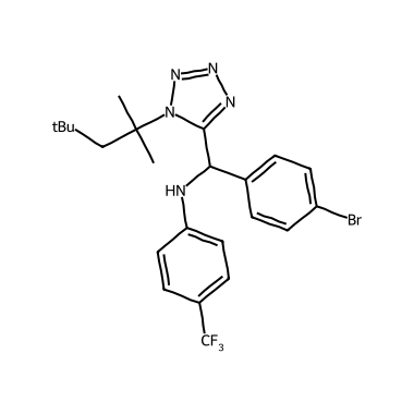 CC(C)(C)CC(C)(C)n1nnnc1C(Nc1ccc(C(F)(F)F)cc1)c1ccc(Br)cc1